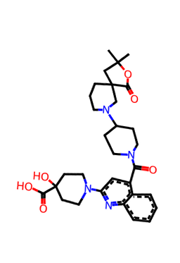 CC1(C)CC2(CCCN(C3CCN(C(=O)c4cc(N5CCC(O)(C(=O)O)CC5)nc5ccccc45)CC3)C2)C(=O)O1